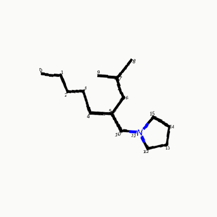 CCCCCC(CC(C)C)CN1CCCC1